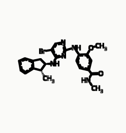 CNC(=O)c1ccc(Nc2ncc(Br)c(N[C@@H]3Cc4ccccc4[C@H]3C)n2)c(OC)c1